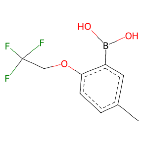 Cc1ccc(OCC(F)(F)F)c(B(O)O)c1